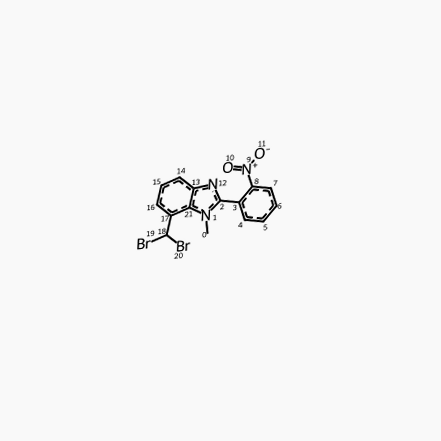 Cn1c(-c2ccccc2[N+](=O)[O-])nc2cccc(C(Br)Br)c21